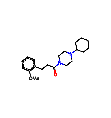 COc1ccccc1CCC(=O)N1CCN(C2CCCCC2)CC1